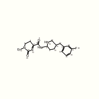 CCN1CCC(C(=O)NC2CCC(Cc3cccc(F)c3)CN2)=NC1=O